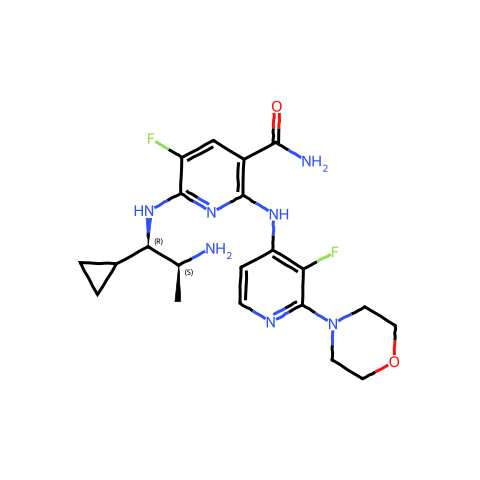 C[C@H](N)[C@H](Nc1nc(Nc2ccnc(N3CCOCC3)c2F)c(C(N)=O)cc1F)C1CC1